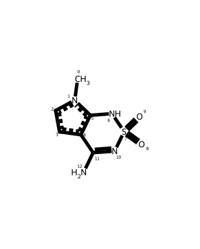 Cn1ccc2c1NS(=O)(=O)N=C2N